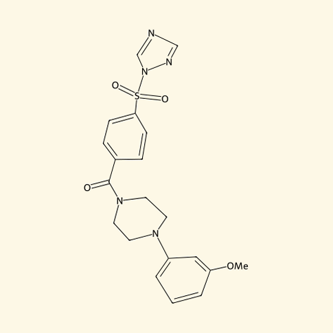 COc1cccc(N2CCN(C(=O)c3ccc(S(=O)(=O)n4cncn4)cc3)CC2)c1